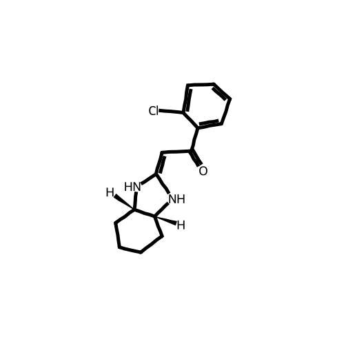 O=C(/C=C1/N[C@H]2CCCC[C@H]2N1)c1ccccc1Cl